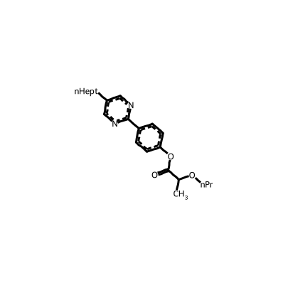 CCCCCCCc1cnc(-c2ccc(OC(=O)C(C)OCCC)cc2)nc1